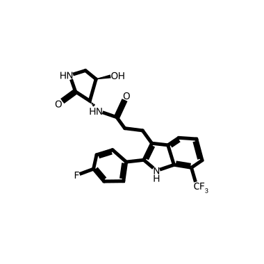 O=C(CCc1c(-c2ccc(F)cc2)[nH]c2c(C(F)(F)F)cccc12)N[C@@H]1C(=O)NC[C@H]1O